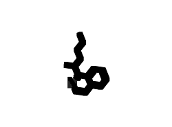 CCCCC(C)c1nccc2ccccc12